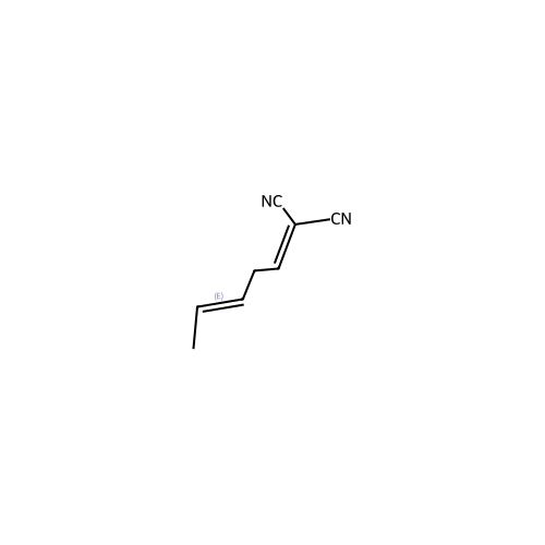 C/C=C/CC=C(C#N)C#N